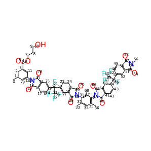 Cc1cc(C(=O)OCCCO)cc(N2C(=O)c3ccc([C@@](F)(c4ccc5c(c4)C(=O)N(c4c(C)cc(C)c(N6C(=O)c7ccc([C@@](F)(c8ccc9c(c8)C(=O)N(C)C9=O)C(F)(F)F)cc7C6=O)c4C)C5=O)C(F)(F)F)cc3C2=O)c1